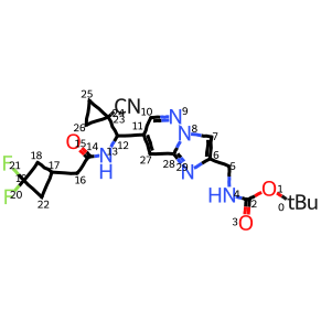 CC(C)(C)OC(=O)NCc1cn2ncc(C(NC(=O)CC3CC(F)(F)C3)C3(C#N)CC3)cc2n1